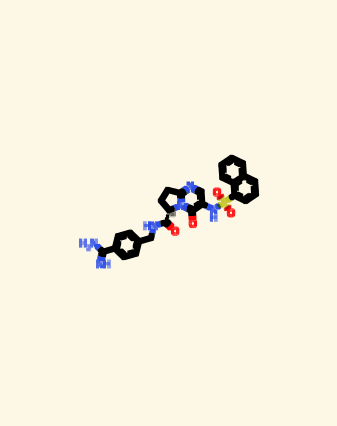 N=C(N)c1ccc(CNC(=O)[C@@H]2CCc3ncc(NS(=O)(=O)c4cccc5ccccc45)c(=O)n32)cc1